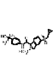 CCOC(=O)N1Cc2cc(S(=O)(=O)CC3CC3)ccc2C1C(=O)Nc1ccc(C(O)(C(F)(F)F)C(F)(F)F)cc1